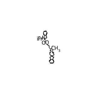 CC(CCCOC(=O)[C@@H]1Cc2ccccc2N1C(C)C)N1CCC2(CC1)Cc1ccccc1C2